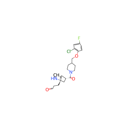 CN[C@]1(CCC=O)C[C@H](C(=O)N2CCC(COc3ccc(F)cc3Cl)CC2)C1